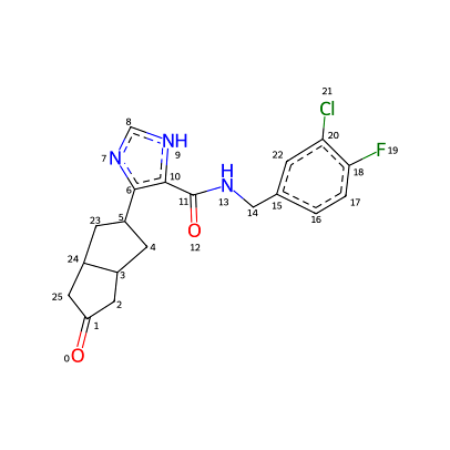 O=C1CC2CC(c3nc[nH]c3C(=O)NCc3ccc(F)c(Cl)c3)CC2C1